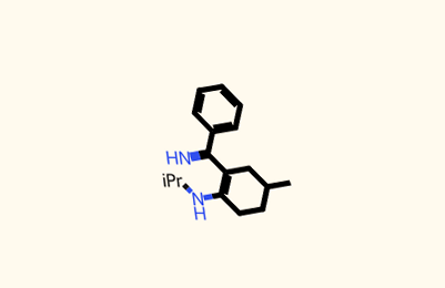 CC1CCC(NC(C)C)=C(C(=N)c2ccccc2)C1